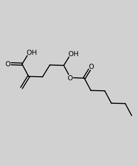 C=C(CCC(O)OC(=O)CCCCC)C(=O)O